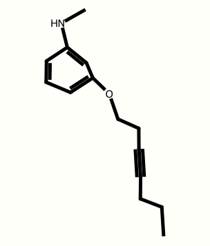 CCCC#CCCOc1cccc(NC)c1